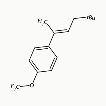 C/C(=C\CC(C)(C)C)c1ccc(OC(F)(F)F)cc1